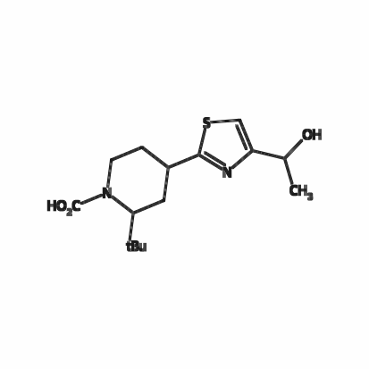 CC(O)c1csc(C2CCN(C(=O)O)C(C(C)(C)C)C2)n1